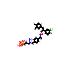 C/C(=N\OCC(Cc1ccc(C)c(C)c1)c1cccc(Cl)c1)c1ccc(CNCCCP(=O)(O)O)cc1